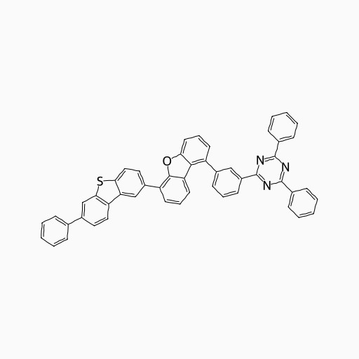 c1ccc(-c2ccc3c(c2)sc2ccc(-c4cccc5c4oc4cccc(-c6cccc(-c7nc(-c8ccccc8)nc(-c8ccccc8)n7)c6)c45)cc23)cc1